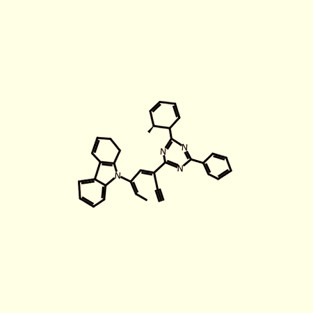 C#C/C(=C\C(=C/C)n1c2c(c3ccccc31)C=CCC2)c1nc(-c2ccccc2)nc(C2C=CC=C[C@@H]2C)n1